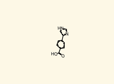 O=C(O)c1ccc(-c2c[nH]cn2)cc1